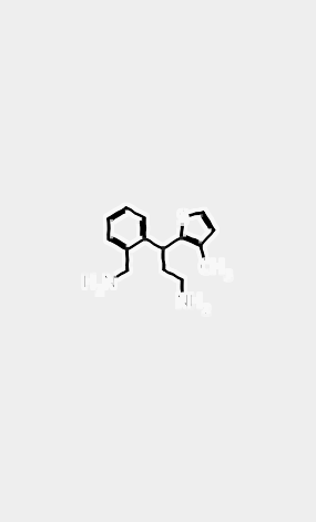 Cc1ccsc1C(CCN)c1ccccc1CN